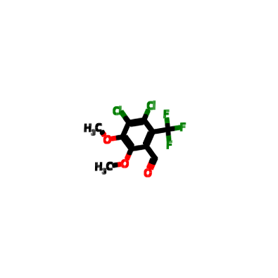 COc1c(Cl)c(Cl)c(C(F)(F)F)c(C=O)c1OC